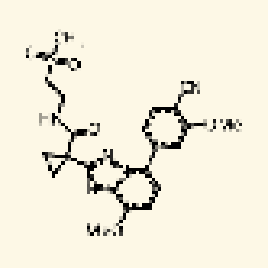 COc1cc(-c2ccc(OC)c3nc(C4(C(=O)NCCS(C)(=O)=O)CC4)nn23)ccc1C#N